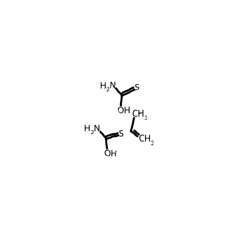 C=CC.NC(O)=S.NC(O)=S